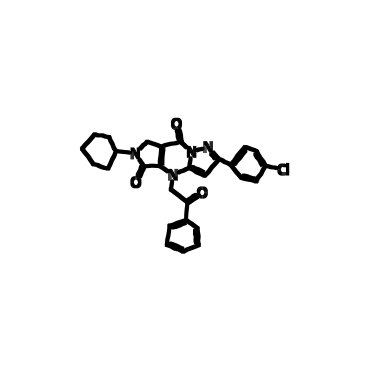 O=C(Cn1c2c(c(=O)n3nc(-c4ccc(Cl)cc4)cc13)CN(C1CCCCC1)C2=O)c1ccccc1